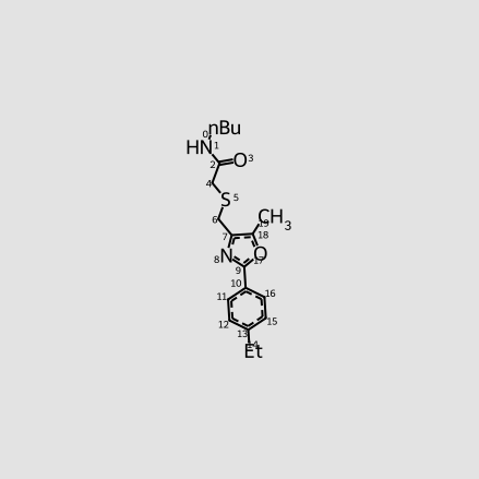 CCCCNC(=O)CSCc1nc(-c2ccc(CC)cc2)oc1C